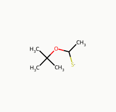 CC([S])OC(C)(C)C